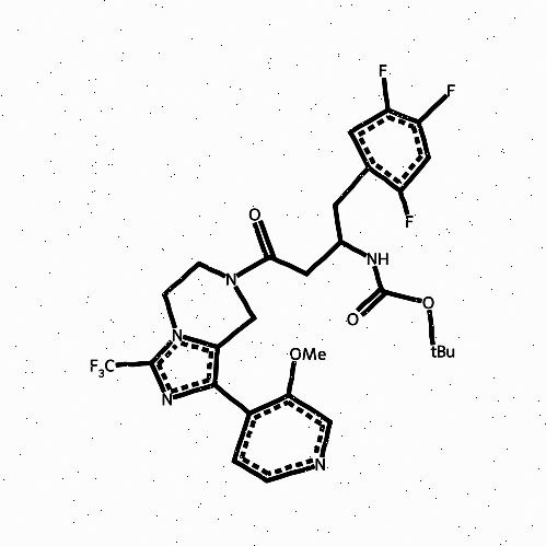 COc1cnccc1-c1nc(C(F)(F)F)n2c1CN(C(=O)CC(Cc1cc(F)c(F)cc1F)NC(=O)OC(C)(C)C)CC2